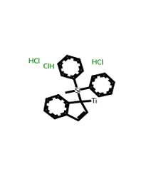 C[Si](c1ccccc1)(c1ccccc1)[C]1([Ti])C=Cc2ccccc21.Cl.Cl.Cl